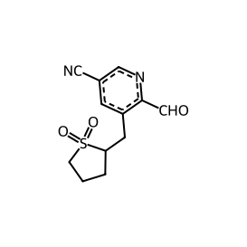 N#Cc1cnc(C=O)c(CC2CCCS2(=O)=O)c1